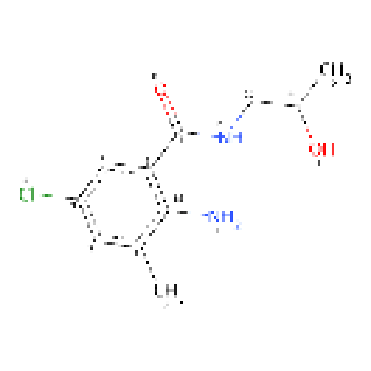 Cc1cc(Cl)cc(C(=O)NCC(C)O)c1N